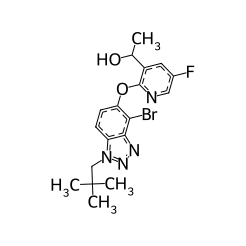 CC(O)c1cc(F)cnc1Oc1ccc2c(nnn2CC(C)(C)C)c1Br